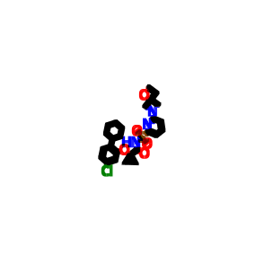 O=C(NS(=O)(=O)c1cccc(N2CC3(CCO3)C2)n1)C1(Oc2cc(Cl)ccc2C2CCCCC2)CC1